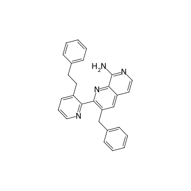 Nc1nccc2cc(Cc3ccccc3)c(-c3ncccc3CCc3ccccc3)nc12